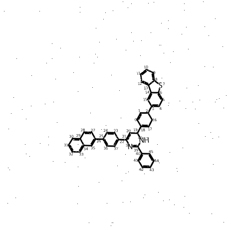 C1=CC(c2ccc3sc4ccccc4c3c2)CC=C1C1C=C(c2ccc(-c3ccc4ccccc4c3)cc2)N=C(c2ccccc2)N1